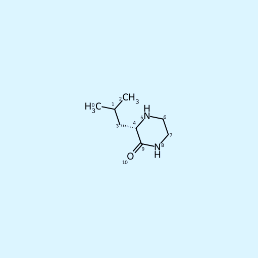 CC(C)C[C@@H]1NCCNC1=O